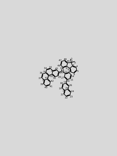 CC1(C)c2ccccc2-c2c(N(c3cccc(-c4ccc5ccccc5c4)c3)c3ccc4c(ccc5ccc6ccccc6c54)c3)cccc21